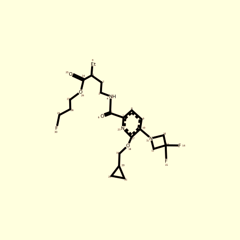 CCC(CCNC(=O)c1ccc(N2CC(F)(F)C2)c(OCC2CC2)n1)C(=O)OCCCF